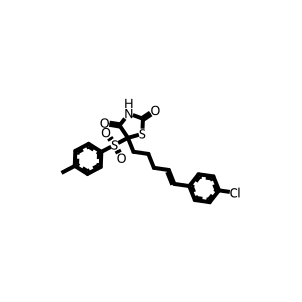 Cc1ccc(S(=O)(=O)C2(CCCC=Cc3ccc(Cl)cc3)SC(=O)NC2=O)cc1